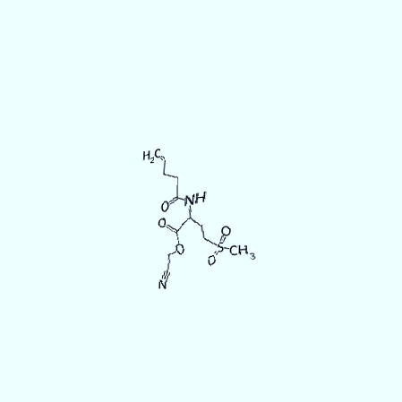 C=CCCC(=O)NC(CCS(C)(=O)=O)C(=O)OCC#N